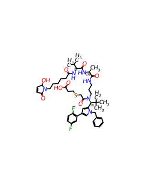 CC(C)[C@H](NC(=O)CCCCCN1C(=O)C=CC1O)C(=O)N[C@@H](C)C(=O)NCCCN(C(=O)CSCCC(=O)O)[C@@H](c1cc(-c2cc(F)ccc2F)cn1Cc1ccccc1)C(C)(C)C